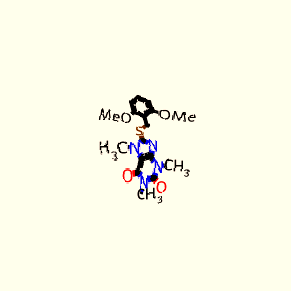 COc1cccc(OC)c1CSc1nc2c(c(=O)n(C)c(=O)n2C)n1C